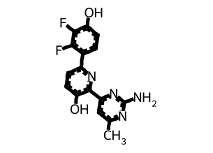 Cc1cc(-c2nc(-c3ccc(O)c(F)c3F)ccc2O)nc(N)n1